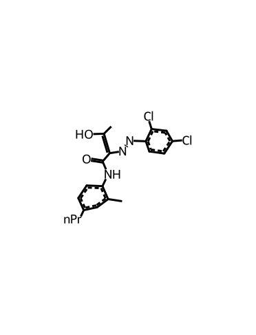 CCCc1ccc(NC(=O)C(/N=N/c2ccc(Cl)cc2Cl)=C(/C)O)c(C)c1